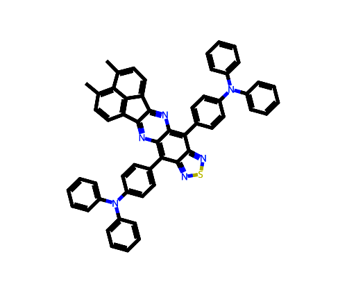 Cc1ccc2c3c(ccc(C)c13)-c1nc3c(-c4ccc(N(c5ccccc5)c5ccccc5)cc4)c4nsnc4c(-c4ccc(N(c5ccccc5)c5ccccc5)cc4)c3nc1-2